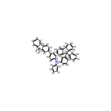 CC1(C)c2ccccc2-c2ccc(-c3ccc(N(c4ccccc4)c4cccc(C5(c6ccccc6)c6ccccc6-c6ccccc65)c4)cc3)cc21